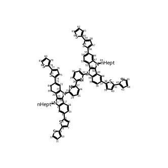 CCCCCCCn1c2cc(-c3ccc(-c4cccs4)s3)ccc2c2c1c1c(n2-c2cccc(-c3cccc(-n4c5ccc(-c6ccc(-c7cccs7)s6)cc5c5c4c4ccc(-c6ccc(-c7cccs7)s6)cc4n5CCCCCCC)n3)n2)C=C(c2ccc(-c3cccs3)s2)CC1